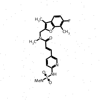 CNS(=O)(=O)Nc1ccc(/C=C/C(=O)N(C)Cc2oc3c(C)c(F)ccc3c2C)cn1